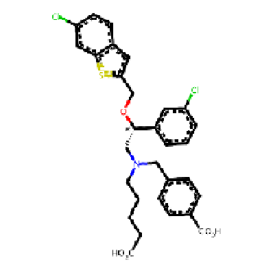 O=C(O)CCCCN(Cc1ccc(C(=O)O)cc1)C[C@H](OCc1cc2ccc(Cl)cc2s1)c1cccc(Cl)c1